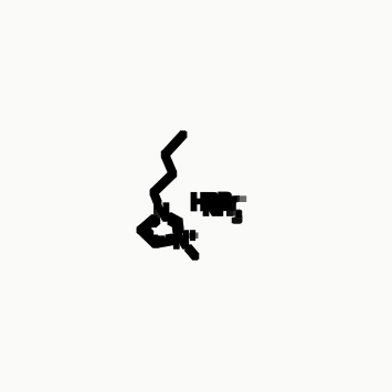 Br.CCCCn1cc[n+](C)c1.N.[Br-]